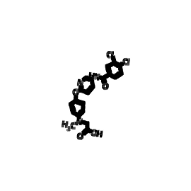 CN(CC(=O)O)c1ccc(Oc2ccc(NC(=O)c3ccc(Cl)c(Cl)c3)cn2)cc1